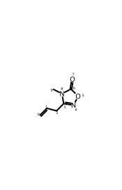 C=CCc1noc(=O)n1C